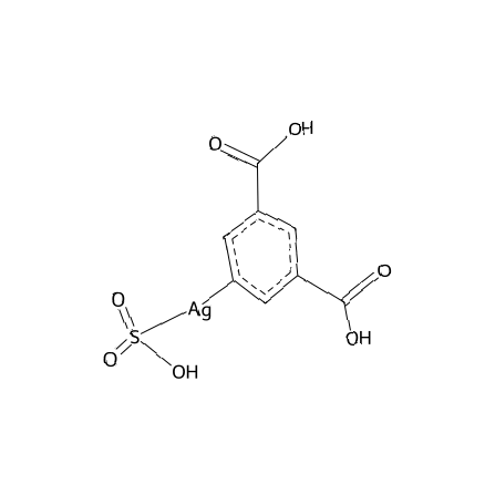 O=C(O)c1c[c]([Ag][S](=O)(=O)O)cc(C(=O)O)c1